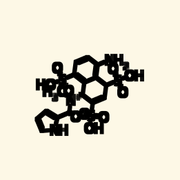 C[N+](C(=O)c1ccc[nH]1)=C1C(S(=O)(=O)O)=CC(S(=O)(=O)O)c2c(N)ccc(S(=O)(=O)O)c21